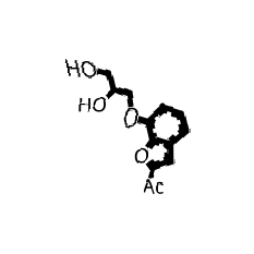 CC(=O)c1cc2cccc(OCC(O)CO)c2o1